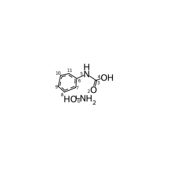 NO.O=C(O)Nc1ccccc1